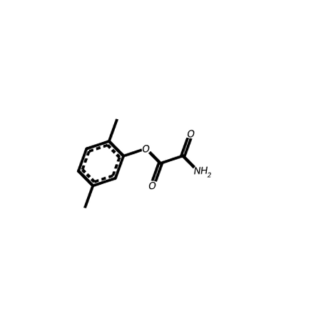 Cc1ccc(C)c(OC(=O)C(N)=O)c1